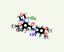 Br.CCOc1cc2c(c(F)c1OCC)C(=N)N(CC(=O)c1cc(N3CCOCC3)c(OC(CC)C(=O)O)c(C(C)(C)C)c1)C2